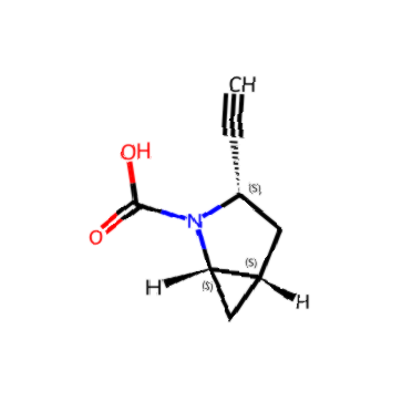 C#C[C@@H]1C[C@@H]2C[C@@H]2N1C(=O)O